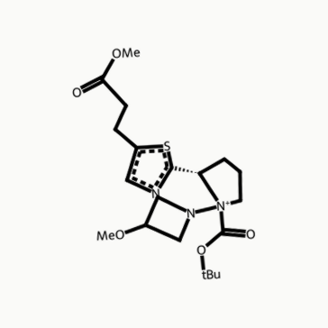 COC(=O)CCc1cnc([C@@H]2CCC[N+]2(C(=O)OC(C)(C)C)N2CC(OC)C2)s1